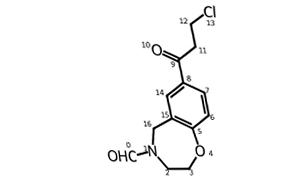 O=CN1CCOc2ccc(C(=O)CCCl)cc2C1